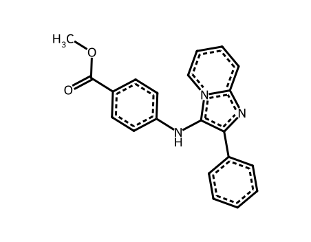 COC(=O)c1ccc(Nc2c(-c3ccccc3)nc3ccccn23)cc1